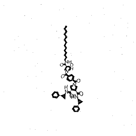 CCCCCCCCCCCCCCNC(=O)[C@@H]1CN(C(=O)c2ccc(C(=O)N3C[C@@H](C(=O)N[C@H]4C[C@@H]4c4ccccc4)[C@H](C(=O)N[C@H]4C[C@@H]4c4ccccc4)C3)cc2)C[C@@H]1O